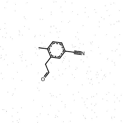 Cc1ccc(C#N)cc1CC=O